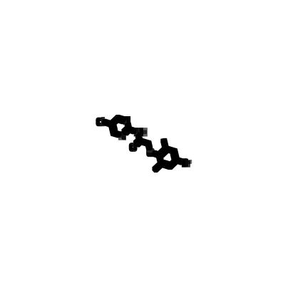 Cc1cc(Br)cc(C)c1OCC(=O)Nc1ncc(Cl)cn1